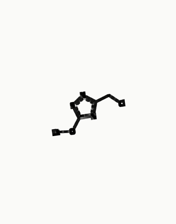 CCOc1nc(CCl)ns1